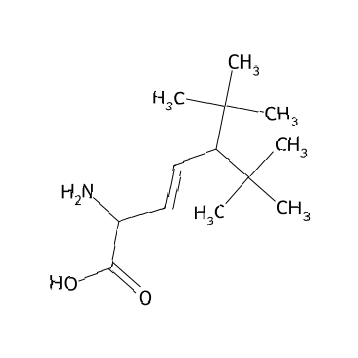 CC(C)(C)C(C=CC(N)C(=O)O)C(C)(C)C